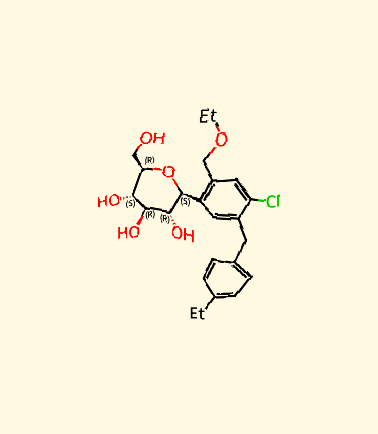 CCOCc1cc(Cl)c(Cc2ccc(CC)cc2)cc1[C@@H]1O[C@H](CO)[C@@H](O)[C@H](O)[C@H]1O